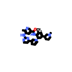 Cc1ncc(C(=O)Nc2ccc(C3CCCN(C)C3)cc2C(F)(F)F)cc1Nc1nccc(-c2cccnc2)n1